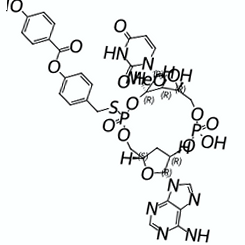 CO[C@H]1[C@H]2OP(=O)(SCc3ccc(OC(=O)c4ccc(O)cc4)cc3)OC[C@@H]3C[C@@H](OP(=O)(O)OC[C@H]1O[C@H]2n1ccc(=O)[nH]c1=O)[C@H](n1cnc2c(N)ncnc21)O3